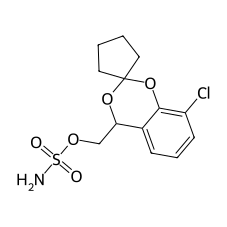 NS(=O)(=O)OCC1OC2(CCCC2)Oc2c(Cl)cccc21